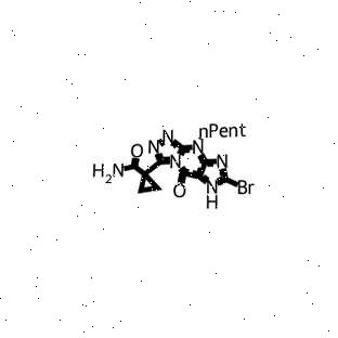 CCCCCn1c2nc(Br)[nH]c2c(=O)n2c(C3(C(N)=O)CC3)nnc12